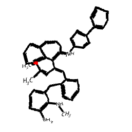 Bc1cccc(Cc2ccccc2/C=C(\C=C(\C)C=C)c2c(Nc3ccc(-c4ccccc4)cc3)ccc3ccccc23)c1NC